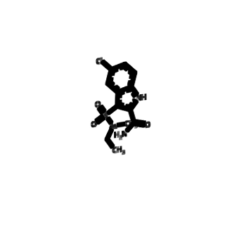 CC[As](C)S(=O)(=O)c1c(C(N)=O)[nH]c2ccc(Cl)cc12